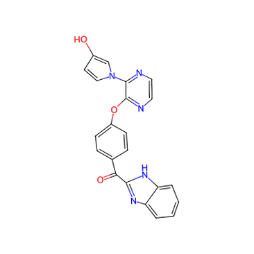 O=C(c1ccc(Oc2nccnc2-n2ccc(O)c2)cc1)c1nc2ccccc2[nH]1